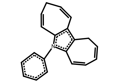 C1=CCc2c3c(n(-c4ccccc4)c2C=C1)C=CCC=C3